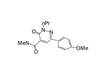 CCCn1nc(-c2ccc(OC)cc2)cc(C(=O)NC)c1=O